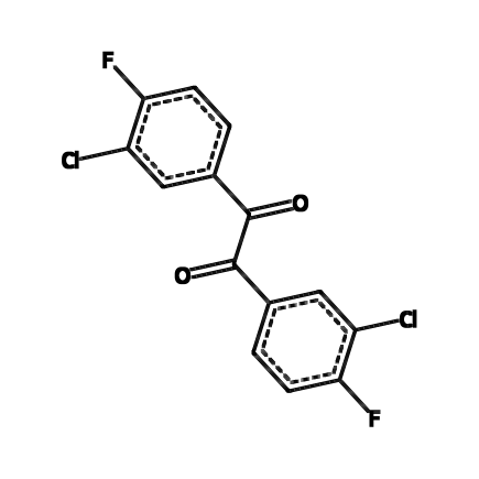 O=C(C(=O)c1ccc(F)c(Cl)c1)c1ccc(F)c(Cl)c1